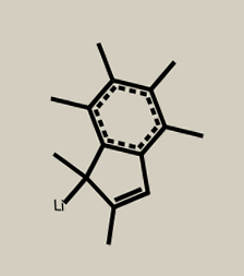 [Li][C]1(C)C(C)=Cc2c(C)c(C)c(C)c(C)c21